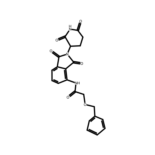 O=C1CCC(N2C(=O)c3cccc(NC(=O)COCc4ccccc4)c3C2=O)C(=O)N1